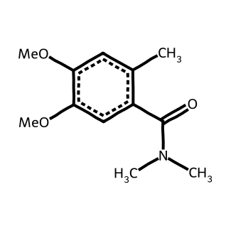 COc1cc(C)c(C(=O)N(C)C)cc1OC